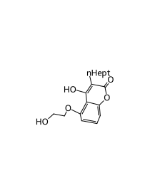 CCCCCCCc1c(O)c2c(OCCO)cccc2oc1=O